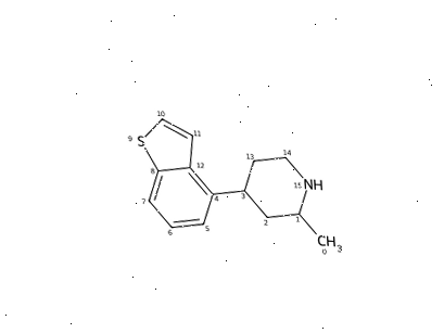 CC1CC(c2cccc3sccc23)CCN1